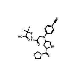 N#Cc1ccc(N(CC(=O)O)[C@@H]2CN[C@H](C(=O)N3CCSC3)C2)nc1.O=C(O)C(F)(F)F